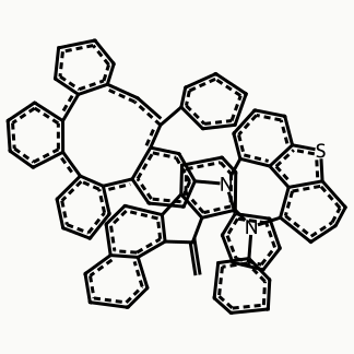 C=C1c2c(cccc2N(c2ccccc2)c2cccc3sc4cccc(N(c5ccccc5)c5ccc6c(c5)c(-c5ccccc5)cc5ccccc5c5ccccc5c5ccccc65)c4c23)-c2ccc3ccccc3c21